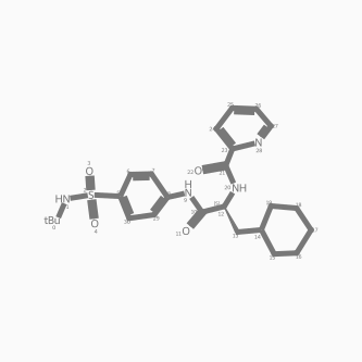 CC(C)(C)NS(=O)(=O)c1ccc(NC(=O)[C@H](CC2CCCCC2)NC(=O)c2ccccn2)cc1